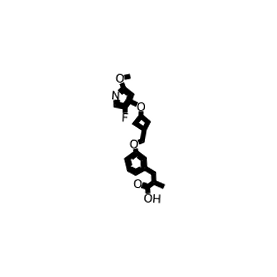 COc1cc(OC2CC(COc3cccc(CC(C)C(=O)O)c3)C2)c(F)cn1